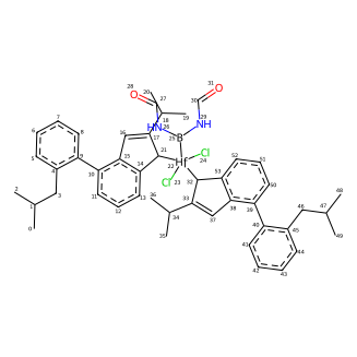 CC(C)Cc1ccccc1-c1cccc2c1C=C(C(C)C)[CH]2[Hf]([Cl])([Cl])([B](NC=O)NC=O)[CH]1C(C(C)C)=Cc2c(-c3ccccc3CC(C)C)cccc21